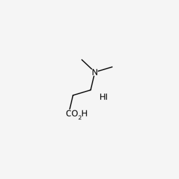 CN(C)CCC(=O)O.I